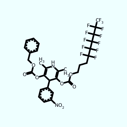 CC1=C(OC(=O)OCCCC(F)(F)C(F)(F)C(F)(F)C(F)(F)C(F)(F)C(F)(F)F)C(c2cccc([N+](=O)[O-])c2)C(OC(=O)OCc2ccccc2)=C(C)N1